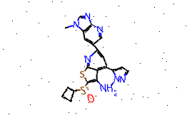 Cn1nccc1-c1cc(-c2cnc3ncn(C)c3c2)nc2sc([S@+]([O-])C3CCC3)c(N)c12